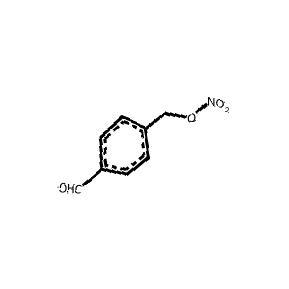 O=[C]c1ccc(CO[N+](=O)[O-])cc1